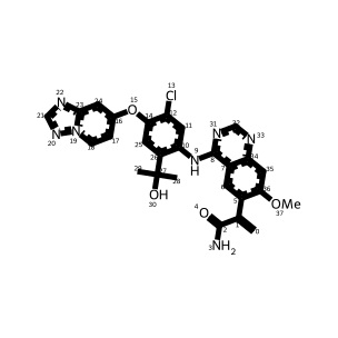 C=C(C(N)=O)c1cc2c(Nc3cc(Cl)c(Oc4ccn5ncnc5c4)cc3C(C)(C)O)ncnc2cc1OC